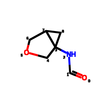 O=[C]NC12COCC1C2